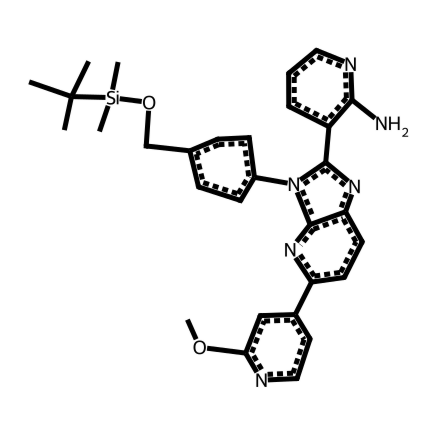 COc1cc(-c2ccc3nc(-c4cccnc4N)n(-c4ccc(CO[Si](C)(C)C(C)(C)C)cc4)c3n2)ccn1